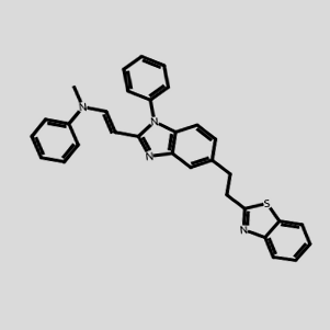 CN(C=Cc1nc2cc(CCc3nc4ccccc4s3)ccc2n1-c1ccccc1)c1ccccc1